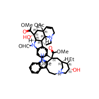 CC[C@@H]1[C@H]2C[N@](CCc3c([nH]c4ccccc34)[C@@](C(=O)OC)(c3cc4c(cc3OC)N(C=O)[C@H]3[C@@](O)(C(=O)OC)[C@H](OC(C)=O)[C@]5(CC)C=CCN6CC[C@]43[C@@H]65)C2)C[C@H]1O